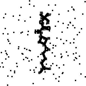 CN(C)CCCO[C@H]1C[C@H](NC(=O)OC(C)(C)C)C1